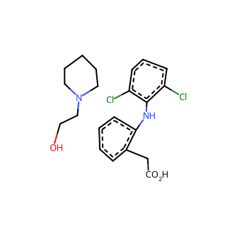 O=C(O)Cc1ccccc1Nc1c(Cl)cccc1Cl.OCCN1CCCCC1